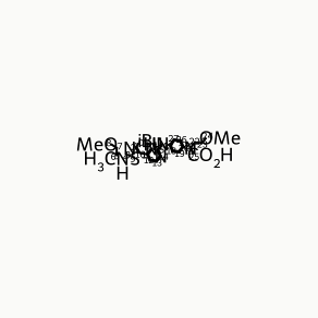 CCC(C)c1nc(NC(C)COC)sc1-c1ccnc(Nc2ccc(N(CCOC)C(=O)O)cc2)n1